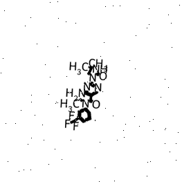 CCN(C(=O)c1cnc(N2CC(C)(C)NC2=O)nc1N)c1cccc(C(F)(F)F)c1